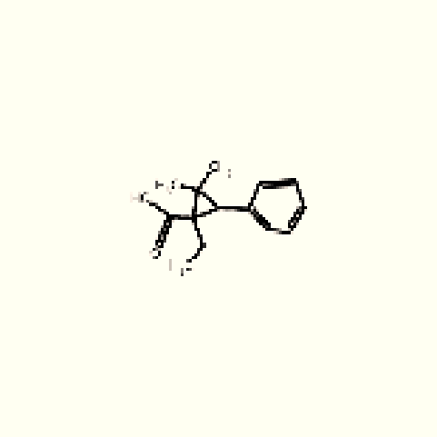 CCC1(C(=O)O)C(c2ccccc2)C1(C)C